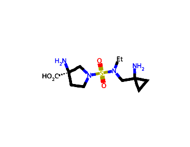 CCN(CC1(N)CC1)S(=O)(=O)N1CC[C@](N)(C(=O)O)C1